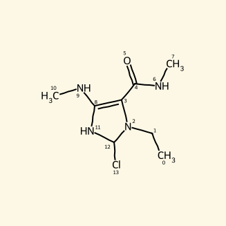 CCN1C(C(=O)NC)=C(NC)NC1Cl